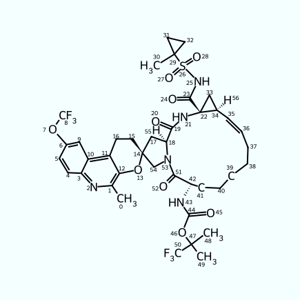 Cc1nc2ccc(OC(F)(F)F)cc2c2c1O[C@]1(CC2)C[C@H]2C(=O)N[C@]3(C(=O)NS(=O)(=O)C4(C)CC4)C[C@H]3/C=C\CCCCC[C@H](NC(=O)OC(C)(C)C(F)(F)F)C(=O)N2C1